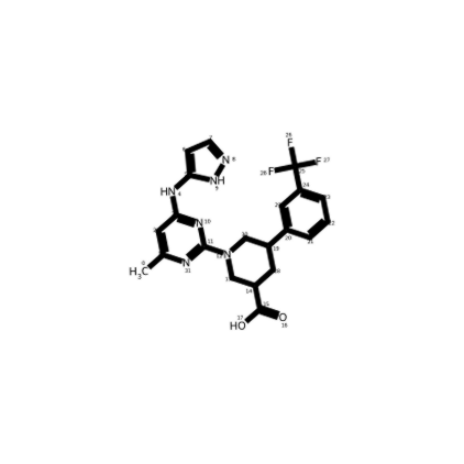 Cc1cc(Nc2ccn[nH]2)nc(N2CC(C(=O)O)CC(c3cccc(C(F)(F)F)c3)C2)n1